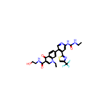 CCNC(=O)Nc1cc(-c2nc(C(F)(F)F)cs2)c(-c2ccc3c(=O)c(C(=O)NCCO)cn(CC)c3c2)cn1